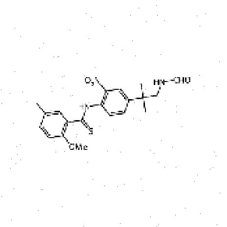 COc1ccc(C)cc1C(=S)Nc1ccc(C(C)(C)CNC=O)cc1[N+](=O)[O-]